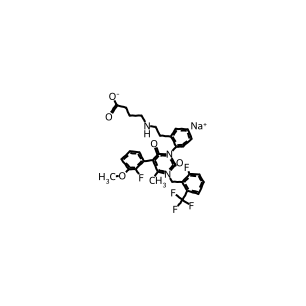 COc1cccc(-c2c(C)n(Cc3c(F)cccc3C(F)(F)F)c(=O)n(-c3ccccc3CCNCCCC(=O)[O-])c2=O)c1F.[Na+]